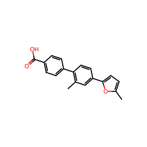 Cc1ccc(-c2ccc(-c3ccc(C(=O)O)cc3)c(C)c2)o1